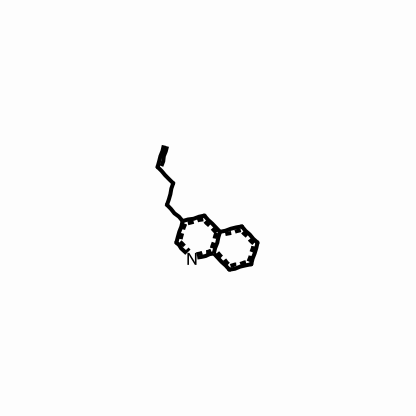 C=CCCc1cnc2ccccc2c1